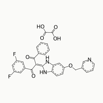 O=C(C(C(=O)c1cc(F)cc(F)c1)=C1Nc2ccc(OCc3cccnc3)cc2N1)c1ccccc1.O=C(O)C(=O)O